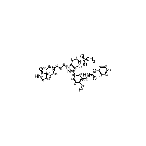 CS(=O)(=O)N1CCc2c(c(-c3ccc(CF)c(CNC(=O)Oc4ccccc4)c3)nn2CCCN2CCC3(CCNC3=O)CC2)C1